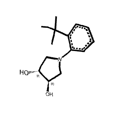 CC(C)(C)c1ccccc1N1C[C@@H](O)[C@H](O)C1